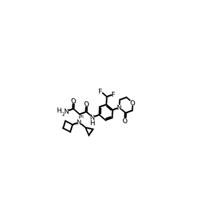 NC(=O)[C@H](C(=O)Nc1ccc(N2CCOCC2=O)c(C(F)F)c1)N(C1CCC1)C1CC1